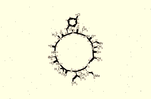 C/C=C(\C)[C@H]1OC(=O)C(C)(C)NC(=O)[C@H]([C@H](C)CC)NC(=O)CN(C)C(=O)[C@@H](Cc2ccc(Cl)cc2)N(C)C(=O)[C@H](C)NC(=O)[C@@H](CC(C)C)N(C)C(=O)/C(C)=C/C[C@H](OCSC)[C@@H]1C